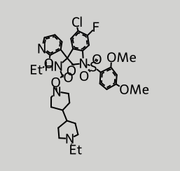 CCOc1ncccc1C1(NC(=O)ON2CCC(C3CCN(CC)CC3)CC2)C(=O)N(S(=O)(=O)c2ccc(OC)cc2OC)c2cc(F)c(Cl)cc21